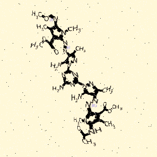 CO/C=N\c1c(C)c(C(=O)OC)c(/N=N/c2c(C)nn(-c3nc(N)nc(-n4nc(C)c(/N=N/c5c(C(=O)OC)c(C)c(NC(C)=O)n5C)c4N)n3)c2N)n1C